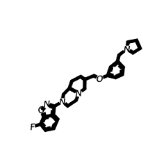 Fc1cccc2c(N3CCN4CC(COc5cccc(CN6CCCC6)c5)CCC4C3)noc12